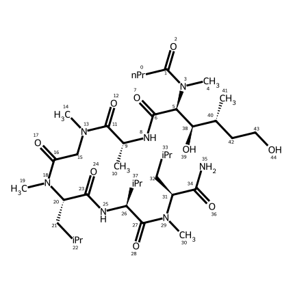 CCCC(=O)N(C)[C@H](C(=O)N[C@H](C)C(=O)N(C)CC(=O)N(C)[C@@H](CC(C)C)C(=O)N[C@H](C(=O)N(C)[C@@H](CC(C)C)C(N)=O)C(C)C)[C@H](O)[C@H](C)CCO